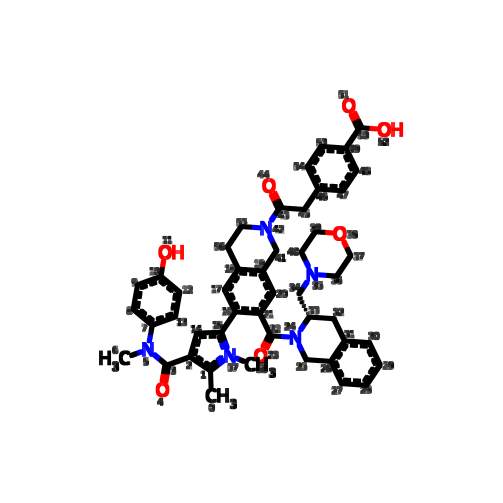 Cc1c(C(=O)N(C)c2ccc(O)cc2)cc(-c2cc3c(cc2C(=O)N2Cc4ccccc4C[C@H]2CN2CCOCC2)CN(C(=O)Cc2ccc(C(=O)O)cc2)CC3)n1C